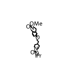 COC(=O)N1CCc2cc(OCCC3CCN(C(=O)OC(C)C)CC3)ccc2C1